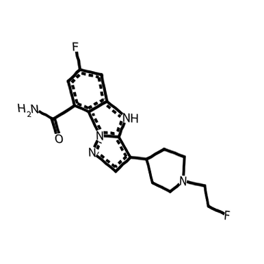 NC(=O)c1cc(F)cc2[nH]c3c(C4CCN(CCF)CC4)cnn3c12